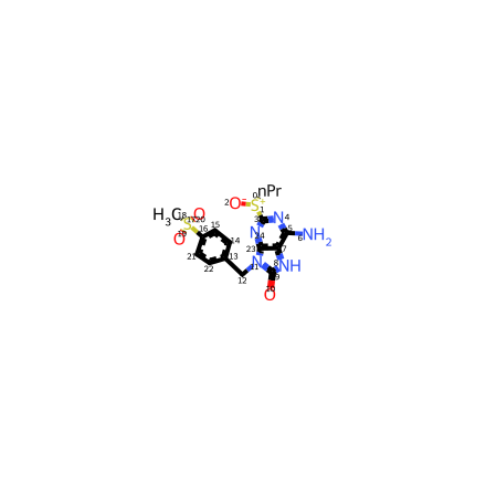 CCC[S+]([O-])c1nc(N)c2[nH]c(=O)n(Cc3ccc(S(C)(=O)=O)cc3)c2n1